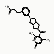 Cc1cc(=O)[nH]c(C)c1C(=O)N1CC2CN(c3cccc(CCC(N)=O)c3)CC2C1